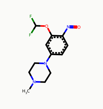 CN1CCN(c2ccc(N=O)c(OC(F)F)c2)CC1